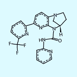 O=C(Nc1ccccn1)N1c2nc(-c3cccc(C(F)(F)F)n3)ccc2N2CC[C@H]1C2